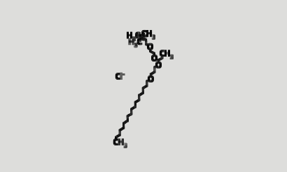 CCCCCCCCCCCCCCCCCCOCCCOC(CC)OCCOCC[N+](C)(C)C.[Cl-]